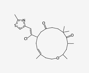 CC1=CCC(C(Cl)=Cc2csc(C)n2)CC(=O)CCC(C)(C)C(=O)C(C)CC(C)OCC1